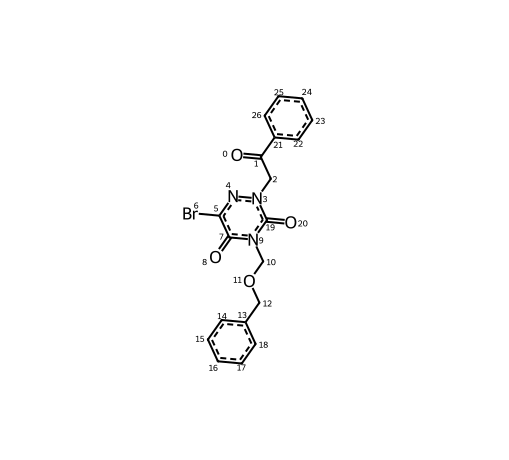 O=C(Cn1nc(Br)c(=O)n(COCc2ccccc2)c1=O)c1ccccc1